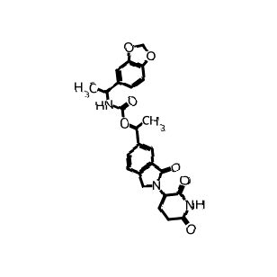 CC(NC(=O)OC(C)c1ccc2c(c1)C(=O)N(C1CCC(=O)NC1=O)C2)c1ccc2c(c1)OCO2